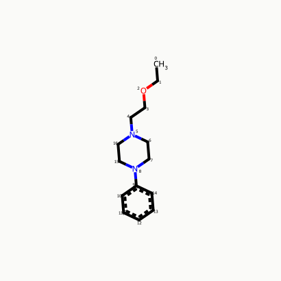 CCOCCN1CCN(c2c[c]ccc2)CC1